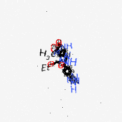 CCOCCCn1c(NC(=O)c2ccc(-c3nn[nH]n3)cc2)nc2cc3[nH]c(=O)c(=O)n(C)c3cc21